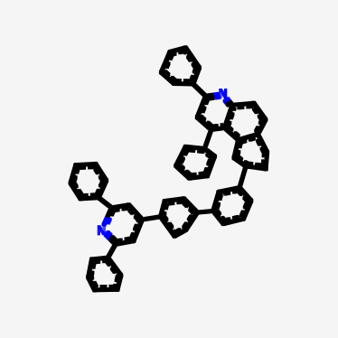 c1ccc(-c2cc(-c3ccc(-c4cccc(-c5ccc6ccc7nc(-c8ccccc8)cc(-c8ccccc8)c7c6c5)c4)cc3)cc(-c3ccccc3)n2)cc1